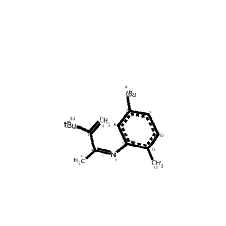 C=C(/C(C)=N\c1cc(C(C)(C)C)ccc1C)C(C)(C)C